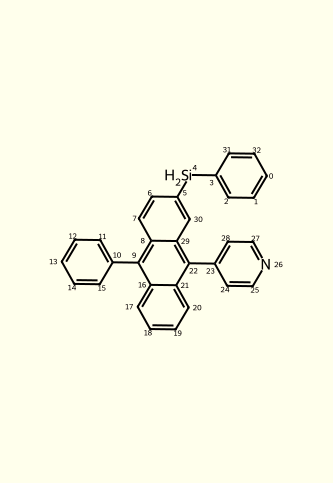 c1ccc([SiH2]c2ccc3c(-c4ccccc4)c4ccccc4c(-c4ccncc4)c3c2)cc1